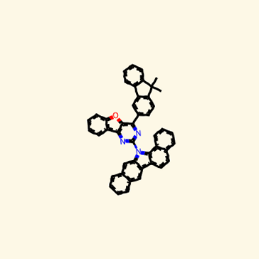 CC1(C)c2ccccc2-c2cc(-c3nc(-n4c5cc6ccccc6cc5c5ccc6ccccc6c54)nc4c3oc3ccccc34)ccc21